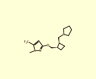 Cn1nc(OC[C@@H]2CC[C@@H]2CN2CCCC2)cc1C(F)(F)F